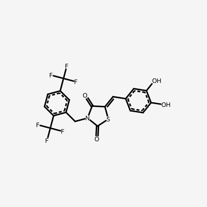 O=C1S/C(=C\c2ccc(O)c(O)c2)C(=O)N1Cc1cc(C(F)(F)F)ccc1C(F)(F)F